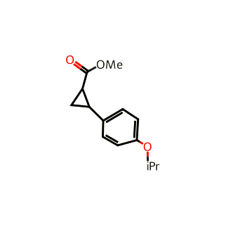 COC(=O)C1CC1c1ccc(OC(C)C)cc1